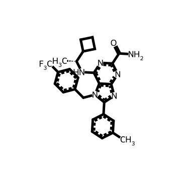 Cc1cccc(-c2nc3nc(C(N)=O)nc(N[C@H](C)C4CCC4)c3n2Cc2ccc(C(F)(F)F)cc2)c1